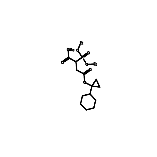 CCOP(=O)(OCC)C(CC(=O)OC1(C2CCCCC2)CC1)C(=O)OC